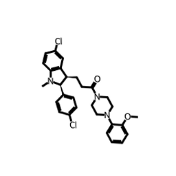 COc1ccccc1N1CCN(C(=O)CC[C@@H]2c3cc(Cl)ccc3N(C)[C@@H]2c2ccc(Cl)cc2)CC1